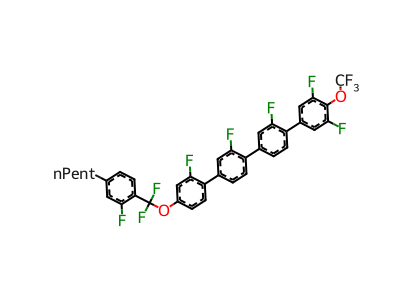 CCCCCc1ccc(C(F)(F)Oc2ccc(-c3ccc(-c4ccc(-c5cc(F)c(OC(F)(F)F)c(F)c5)c(F)c4)c(F)c3)c(F)c2)c(F)c1